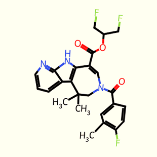 Cc1cc(C(=O)N2C=C(C(=O)OC(CF)CF)c3[nH]c4ncccc4c3C(C)(C)C2)ccc1F